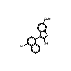 COc1ccc2c(c1)nc(S)n2-c1ccc(C#N)c2ccccc12